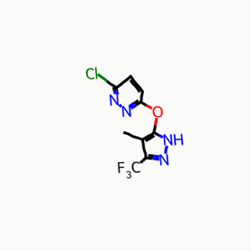 Cc1c(C(F)(F)F)n[nH]c1Oc1ccc(Cl)nn1